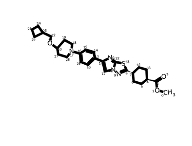 COC(=O)[C@H]1CC[C@H](c2nn3cc(-c4ccc(N5CCC(OCC6CCC6)CC5)cc4)nc3s2)CC1